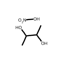 CC(O)C(C)O.O=[N+]([O-])O